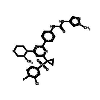 C[C@H]1COCCN1c1cc(C2(S(=O)(=O)c3ccc(F)c(Cl)c3)CC2)nc(-c2ccc(NC(=O)Nc3cnn(C)c3)cc2)n1